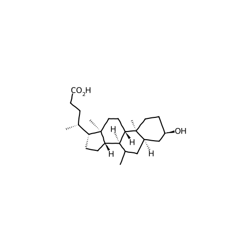 CC1C[C@@H]2C[C@H](O)CC[C@]2(C)[C@H]2CC[C@]3(C)[C@@H]([C@H](C)CCC(=O)O)CC[C@H]3[C@H]12